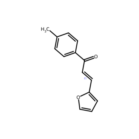 Cc1ccc(C(=O)/C=C/c2ccco2)cc1